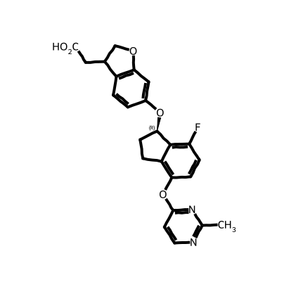 Cc1nccc(Oc2ccc(F)c3c2CC[C@H]3Oc2ccc3c(c2)OCC3CC(=O)O)n1